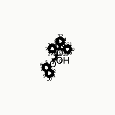 OC(COc1cccc2ccccc12)COC(c1ccccc1)(c1ccccc1)c1ccccc1